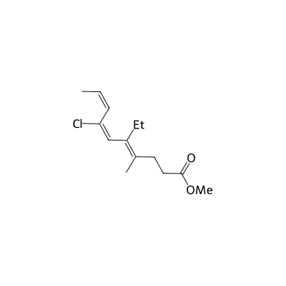 C\C=C/C(Cl)=C\C(CC)=C(/C)CCC(=O)OC